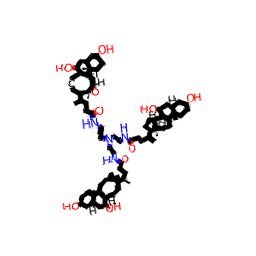 CC(CCC(=O)NCCN(CCNC(=O)CCC(C)C1CCCC2C(O)CC3C[C@H](O)CC[C@]3(C)[C@@H]2C[C@H]2O[C@@]12C)CCNC(=O)CC[C@@H](C)C1CC[C@H]2C(CCC1(C)C)C1(C)CC[C@@H](O)C[C@@H]1C[C@@H]2O)C1CC[C@H]2[C@H]3C(CC[C@@]12C)C1(C)CC[C@@H](O)C[C@@H]1C[C@@H]3O